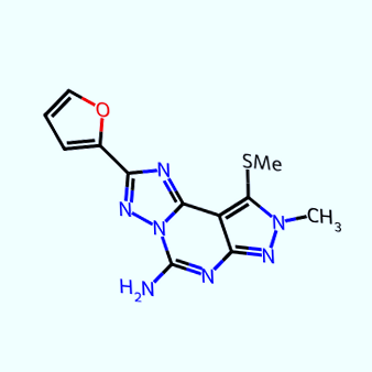 CSc1c2c(nc(N)n3nc(-c4ccco4)nc23)nn1C